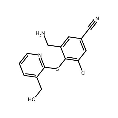 N#Cc1cc(Cl)c(Sc2ncccc2CO)c(CN)c1